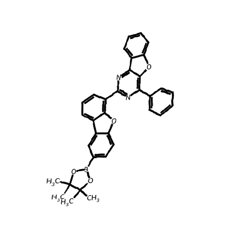 CC1(C)OB(c2ccc3oc4c(-c5nc(-c6ccccc6)c6oc7ccccc7c6n5)cccc4c3c2)OC1(C)C